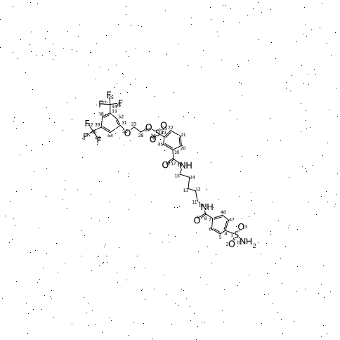 NS(=O)(=O)c1ccc(C(=O)NCCCCCNC(=O)c2cccc(S(=O)(=O)OCCOc3cc(C(F)(F)F)cc(C(F)(F)F)c3)c2)cc1